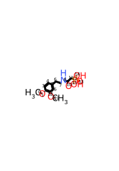 COc1ccc(CCNC(=O)CP(=O)(O)O)cc1OC